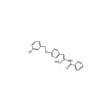 O=C(O)/C(=C\c1ccc(OCc2cccc(Cl)c2)cc1)NC(=O)c1ccccc1